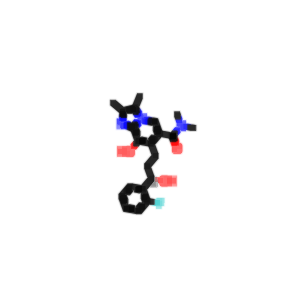 Cc1nc2c(O)c(CC[C@H](O)c3ccccc3F)c(C(=O)N(C)C)cn2c1C